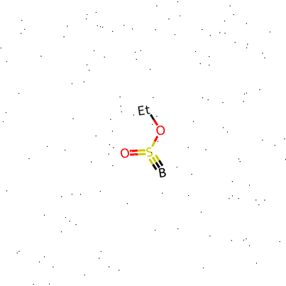 B#S(=O)OCC